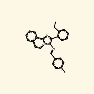 CCc1ccccc1-c1nc2c3ccccc3ccn2c1N=Cc1ccc(C)cc1